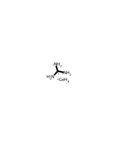 N[C](N)N.[GeH4]